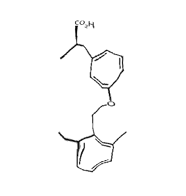 Cc1cccc(C)c1COc1cccc([C@@H](C)C(=O)O)c1